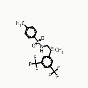 Cc1ccc(S(=O)(=O)NC[C@H](C)c2cc(C(F)(F)F)cc(C(F)(F)F)c2)cc1